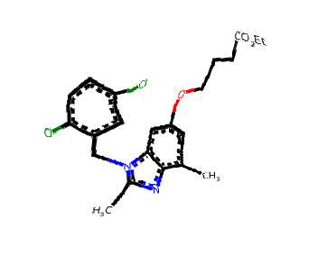 CCOC(=O)CCCOc1cc(C)c2nc(C)n(Cc3cc(Cl)ccc3Cl)c2c1